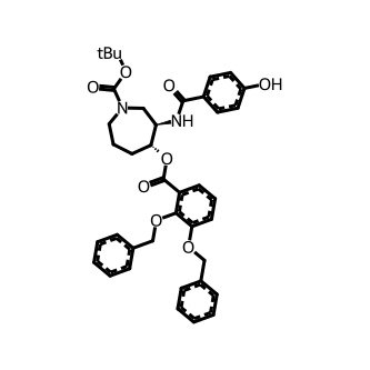 CC(C)(C)OC(=O)N1CCC[C@@H](OC(=O)c2cccc(OCc3ccccc3)c2OCc2ccccc2)[C@H](NC(=O)c2ccc(O)cc2)C1